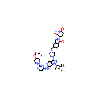 COC1CCN(c2nccc(Nc3cc4c(cn3)c(N3CCN(Cc5ccc6c(c5)CN(C5CCC(=O)NC5=O)C6=O)CC3)nn4C(C)C)n2)CC1